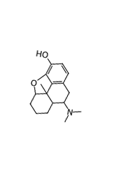 CN(C)C1Cc2ccc(O)c3c2C2(C)C(CCCC12)O3